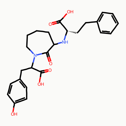 O=C(O)C(Cc1ccc(O)cc1)N1CCCCC(N[C@@H](CCc2ccccc2)C(=O)O)C1=O